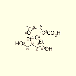 CCOCC.O=C(O)OCC1CO1.OCCCCO